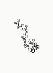 COC1=CC(=O)C(CC=C(C)CCC=C(C)CCC=C(C)C)C(C)C1(OC)OC